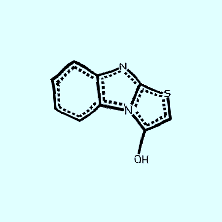 Oc1csc2nc3ccccc3n12